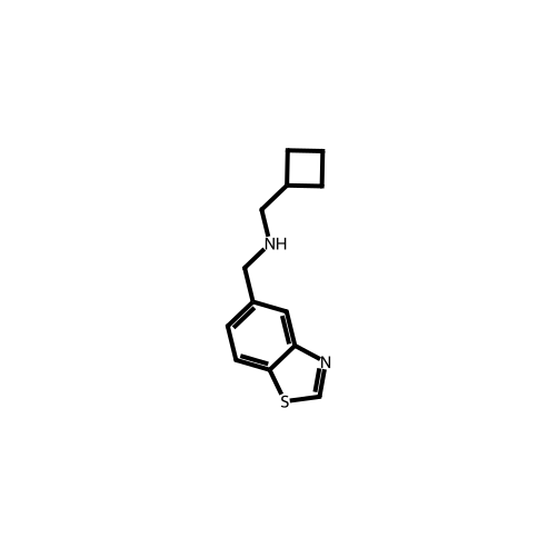 c1nc2cc(CNCC3CCC3)ccc2s1